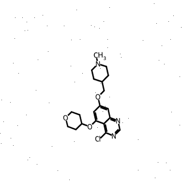 CN1CCC(COc2cc(OC3CCOCC3)c3c(Cl)ncnc3c2)CC1